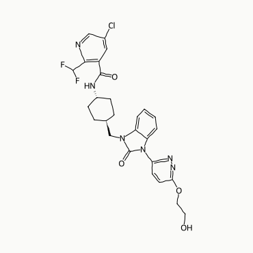 O=C(N[C@H]1CC[C@H](Cn2c(=O)n(-c3ccc(OCCO)nn3)c3ccccc32)CC1)c1cc(Cl)cnc1C(F)F